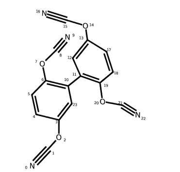 N#COc1ccc(OC#N)c(-c2cc(OC#N)ccc2OC#N)c1